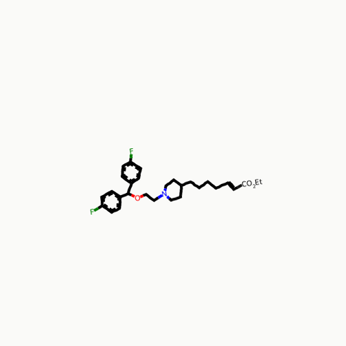 CCOC(=O)C=CCCCCC1CCN(CCOC(c2ccc(F)cc2)c2ccc(F)cc2)CC1